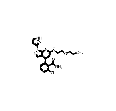 CCCOCCNc1cc(-c2cccc(Cl)c2C(N)=O)c2cnn(-c3cc[nH]n3)c2n1